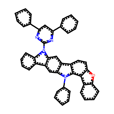 c1ccc(-c2cc(-c3ccccc3)nc(-n3c4ccccc4c4cc5c(cc43)c3ccc4oc6ccccc6c4c3n5-c3ccccc3)n2)cc1